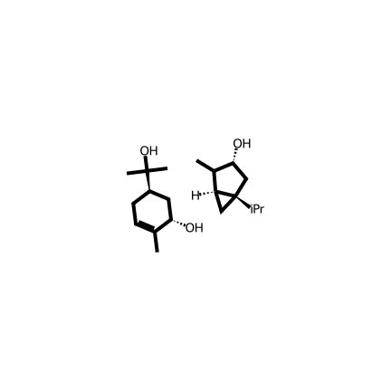 CC1=CC[C@@H](C(C)(C)O)C[C@@H]1O.CC1[C@H](O)C[C@]2(C(C)C)C[C@@H]12